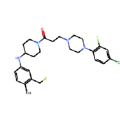 O=Nc1ccc(NC2CCN(C(=O)CCN3CCN(c4ccc(Cl)cc4F)CC3)CC2)cc1CF